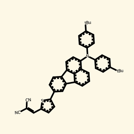 CC(C)(C)c1ccc(N(c2ccc(C(C)(C)C)cc2)c2ccc3c4c(cccc24)-c2cc(-c4ccc(C=C(C#N)C#N)s4)ccc2-3)cc1